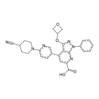 N#CC1CCN(c2ccc(-c3cc(C(=O)O)nc4c3c(OC3COC3)nn4-c3ccccc3)cn2)CC1